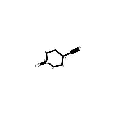 C#CC1CCS(=S)CC1